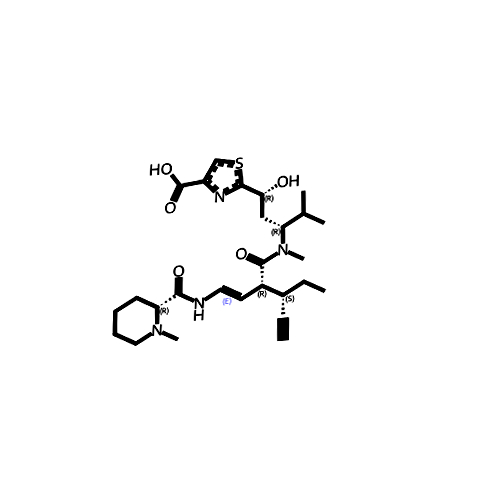 C#C[C@@H](CC)[C@H](/C=C/NC(=O)[C@H]1CCCCN1C)C(=O)N(C)[C@H](C[C@@H](O)c1nc(C(=O)O)cs1)C(C)C